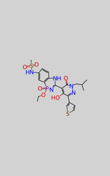 CCOP1(=O)N=C(c2c(O)c(-c3ccsc3)nn(CC(C)C)c2=O)Nc2ccc(NS(C)(=O)=O)cc21